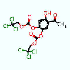 CC(=O)c1cc(OC(=O)OCC(Cl)(Cl)Cl)c(OC(=O)OCC(Cl)(Cl)Cl)cc1O